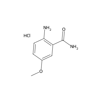 COc1ccc(N)c(C(N)=O)c1.Cl